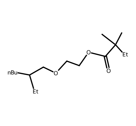 CCCCC(CC)COCCOC(=O)C(C)(C)CC